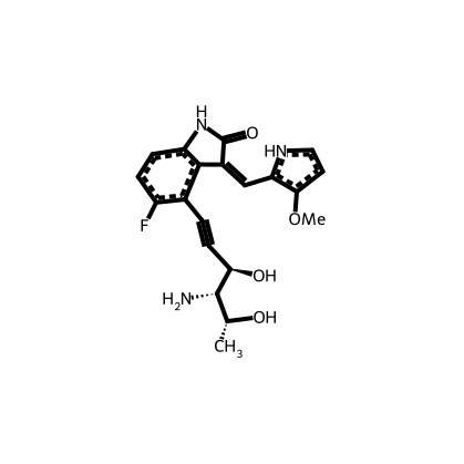 COc1cc[nH]c1C=C1C(=O)Nc2ccc(F)c(C#C[C@@H](O)[C@@H](N)[C@@H](C)O)c21